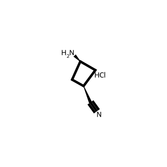 Cl.N#C[C@H]1C[C@@H](N)C1